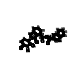 O=C1CCC(N2Cc3cccc(C(=O)NC(=O)c4cnc5ccccc5n4)c3C2=O)C(=O)N1